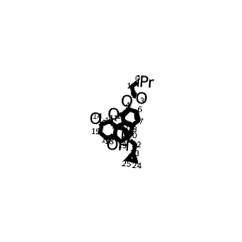 CC(C)CC(=O)Oc1ccc2c3c1OC1C(=O)CC[C@@]4(O)C(C2)N(CC2CC2)CCC314